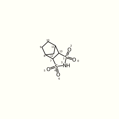 O=S1(=O)NS(=O)(=O)C2C3CCC(C3)C21